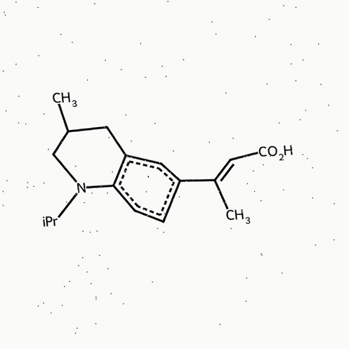 CC(=CC(=O)O)c1ccc2c(c1)CC(C)CN2C(C)C